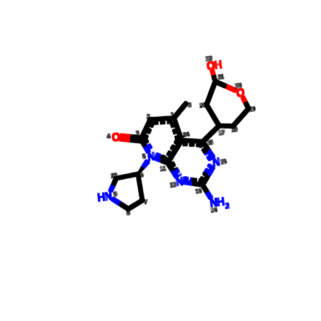 Cc1cc(=O)n([C@H]2CCNC2)c2nc(N)nc(C3CCOC(O)C3)c12